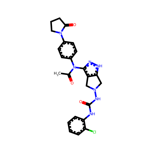 CC(=O)N(c1ccc(N2CCCC2=O)cc1)c1n[nH]c2c1CN(NC(=O)Nc1ccccc1Cl)C2